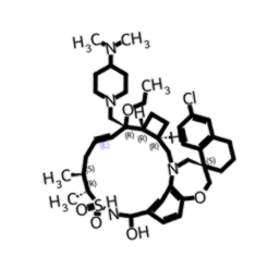 CCO[C@@]1(CN2CCC(N(C)C)CC2)/C=C/C[C@H](C)[C@@H](C)S(=O)(=O)NC(O)c2ccc3c(c2)N(C[C@@H]2CC[C@H]21)C[C@@]1(CCCc2cc(Cl)ccc21)CO3